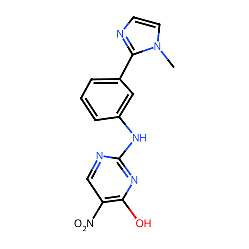 Cn1ccnc1-c1cccc(Nc2ncc([N+](=O)[O-])c(O)n2)c1